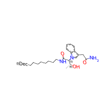 CCCCCCCCCCCCCCCCCCNC(=O)[C@H]([C@@H](C)O)n1cc(CC(N)=O)c2ccccc21